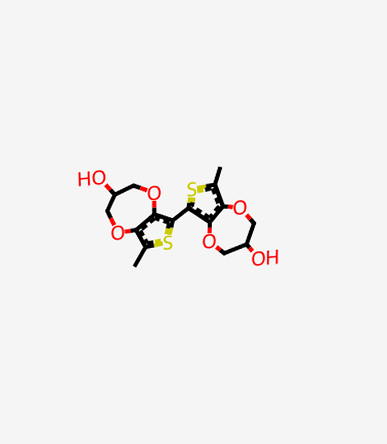 Cc1sc(-c2sc(C)c3c2OCC(O)CO3)c2c1OCC(O)CO2